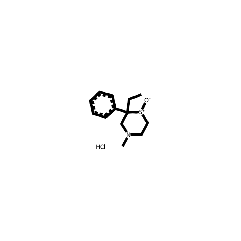 CCC1(c2ccccc2)CN(C)CC[S+]1[O-].Cl